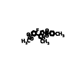 CCS(=O)(=O)c1ccc(F)c(-c2cc(C)nc3c2ccn3S(=O)(=O)c2ccc(C)cc2)c1